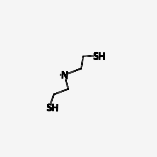 SCC[N]CCS